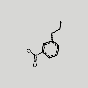 CCCc1c[c]cc([N+](=O)[O-])c1